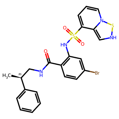 C[C@@H](CNC(=O)c1ccc(Br)cc1NS(=O)(=O)C1=CC=CN2SNC=C12)c1ccccc1